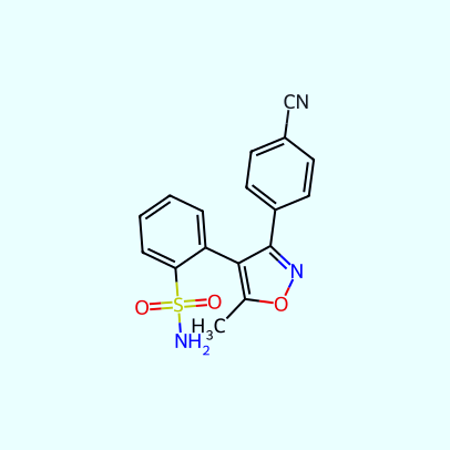 Cc1onc(-c2ccc(C#N)cc2)c1-c1ccccc1S(N)(=O)=O